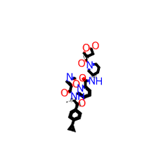 C[C@H](NC(=O)c1cnco1)[C@H](Oc1ccc(C(=O)N[C@H]2CCCN(C(=O)[C@H]3COC(=O)C3)C2)nc1)c1ccc(C2CC2)cc1